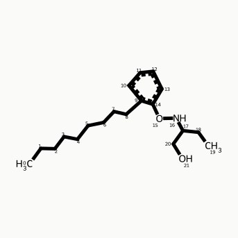 CCCCCCCCCc1ccccc1ONC(CC)CO